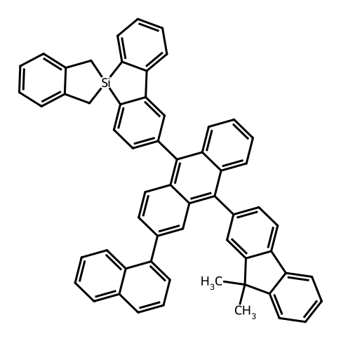 CC1(C)c2ccccc2-c2ccc(-c3c4ccccc4c(-c4ccc5c(c4)-c4ccccc4[Si]54Cc5ccccc5C4)c4ccc(-c5cccc6ccccc56)cc34)cc21